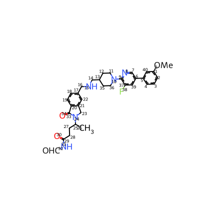 COc1cccc(-c2cnc(N3CCC(CNCc4ccc5c(c4)CN(C(C)CCC(=O)NC=O)C5=O)CC3)c(F)c2)c1